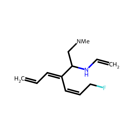 C=C/C=C(\C=C/CF)C(CNC)NC=C